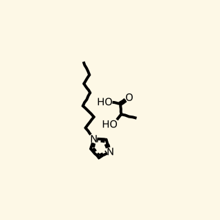 CC(O)C(=O)O.CCCCCCCn1ccnc1